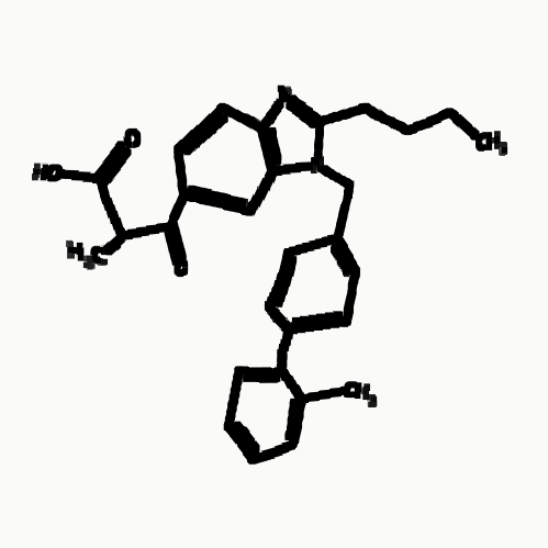 CCCCc1nc2ccc(C(=O)C(C)C(=O)O)cc2n1Cc1ccc(-c2ccccc2C)cc1